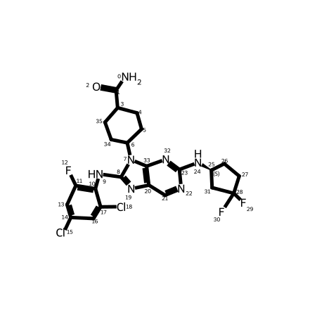 NC(=O)C1CCC(n2c(Nc3c(F)cc(Cl)cc3Cl)nc3cnc(N[C@H]4CCC(F)(F)C4)nc32)CC1